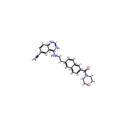 N#Cc1ccc2ncnc(NCCc3ccc4cc(C(=O)N5CCOCC5)ccc4c3)c2c1